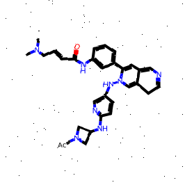 CC(=O)N1CC(Nc2ccc(NN3C=C4CC=NC=C4C=C3c3cccc(NC(=O)/C=C/CN(C)C)c3)cn2)C1